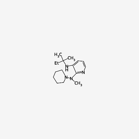 CCC(C)(C)Nc1cccnc1N(C)N1CCCCC1